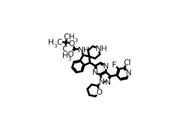 CC(C)(C)OC(=O)NC1c2ccccc2C(c2cnc3c(-c4ccnc(Cl)c4F)nn(C4CCCCO4)c3n2)C12CCNCC2